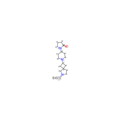 CCOC(=O)N1CCC2(CC(N3CCC(N4CCCC4=O)CC3)C2)C1